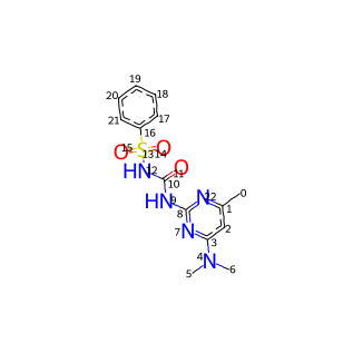 Cc1cc(N(C)C)nc(NC(=O)NS(=O)(=O)c2ccccc2)n1